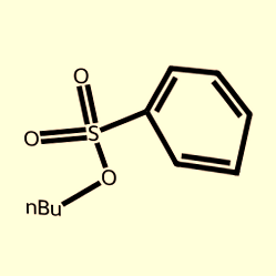 CCCCOS(=O)(=O)c1ccccc1